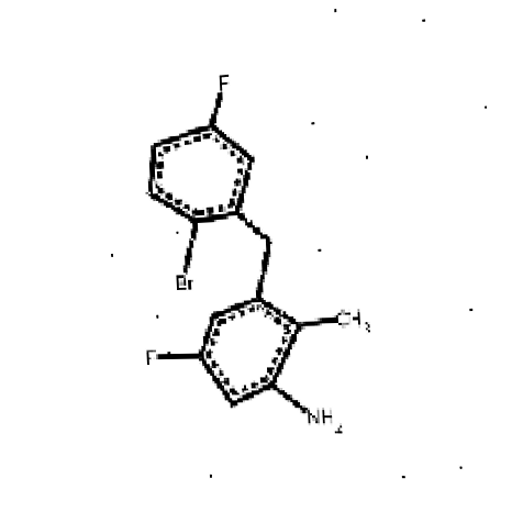 Cc1c(N)cc(F)cc1Cc1cc(F)ccc1Br